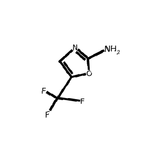 Nc1ncc(C(F)(F)F)o1